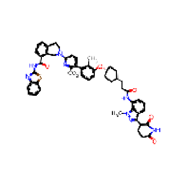 Cc1c(O[C@H]2CC[C@H](CCC(=O)Nc3cccc4c(C5CCC(=O)NC5=O)nn(C)c34)CC2)cccc1-c1ccc(N2CCc3cccc(C(=O)Nc4nc5ccccc5s4)c3C2)nc1C(=O)O